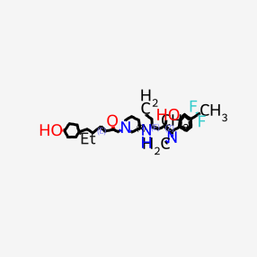 C=CC/C(=C\C(C)=C(/N=C)c1ccc(C(C)(F)F)cc1O)N[C@@H]1CCCN(CC(=O)/C=C/CCC2(CC)CCC(O)CC2)C1